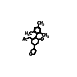 CC(=O)CC1=C(c2c(C)cc(C)cc2C)C(=O)CC(C2CCOC2)C1